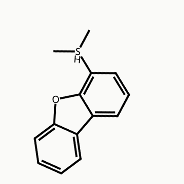 C[SH](C)c1cccc2c1oc1ccccc12